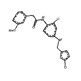 COc1cccc(CC(=O)Nc2ccc(NCc3ccc(Cl)s3)cc2Cl)c1